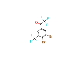 O=C(c1cc(Br)c(Br)c(C(F)(F)F)c1)C(F)(F)F